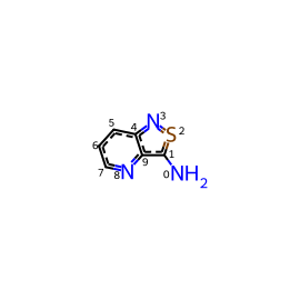 Nc1snc2cccnc12